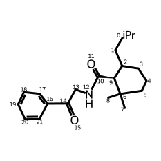 CC(C)CC1CCCC(C)(C)[C@H]1C(=O)NCC(=O)c1ccccc1